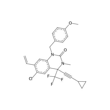 C=Cc1cc2c(cc1Cl)C(C#CC1CC1)(C(F)(F)F)N(C)C(=O)N2Cc1ccc(OC)cc1